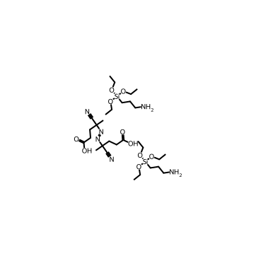 CC(C#N)(CCC(=O)O)N=NC(C)(C#N)CCC(=O)O.CCO[Si](CCCN)(OCC)OCC.CCO[Si](CCCN)(OCC)OCC